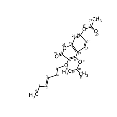 CCC=CCCOc1c(OC(C)C)c2ccc(OC(C)=O)cc2oc1=O